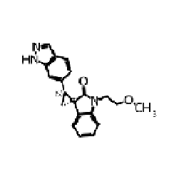 COCCN1C(=O)[C@@]2(C[C@H]2c2ccc3cn[nH]c3c2)c2ccccc21